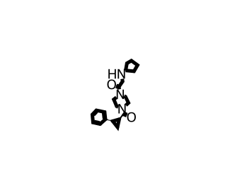 O=C(CNC1CCCC1)N1CCN(C(=O)[C@H]2C[C@@H]2c2ccccc2)CC1